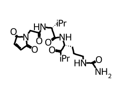 CC(C)C(=O)[C@@H](CCCNC(N)=O)NC(=O)[C@H](NC(=O)CN1C(=O)C=CC1=O)C(C)C